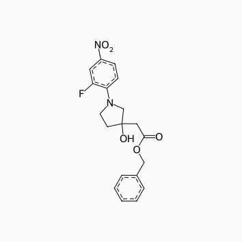 O=C(CC1(O)CCN(c2ccc([N+](=O)[O-])cc2F)C1)OCc1ccccc1